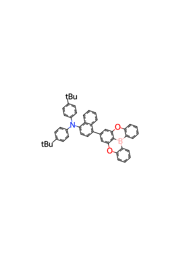 CC(C)(C)c1ccc(N(c2ccc(C(C)(C)C)cc2)c2ccc(-c3cc4c5c(c3)Oc3ccccc3B5c3ccccc3O4)c3ccccc23)cc1